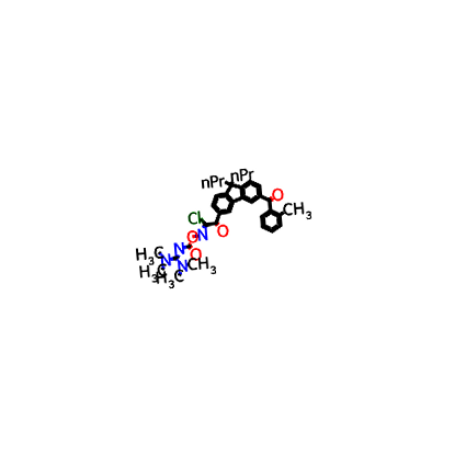 CCCC1(CCC)c2ccc(C(=O)/C(Cl)=N/OC(=O)N=C(N(C)C)N(C)C)cc2-c2cc(C(=O)c3ccccc3C)ccc21